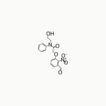 O=Cc1cccc(OCC(=O)N(CCO)c2ccccc2)c1[N+](=O)[O-]